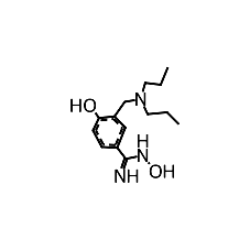 CCCN(CCC)Cc1cc(C(=N)NO)ccc1O